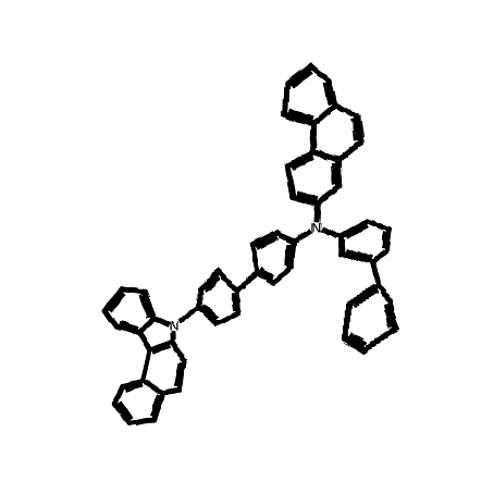 c1ccc(-c2cccc(N(c3ccc(-c4ccc(-n5c6ccccc6c6c7ccccc7ccc65)cc4)cc3)c3ccc4c(ccc5ccccc54)c3)c2)cc1